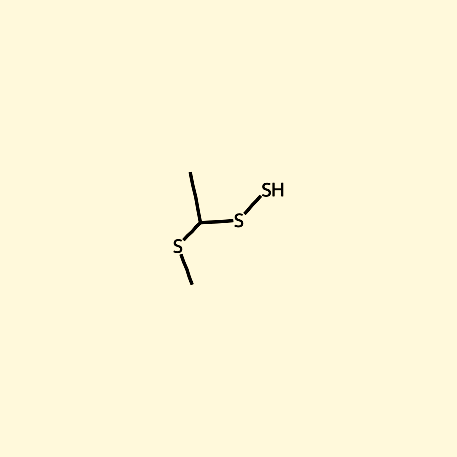 CSC(C)SS